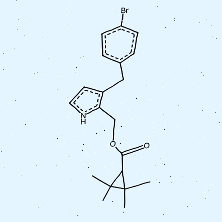 CC1(C)C(C(=O)OCc2[nH]ccc2Cc2ccc(Br)cc2)C1(C)C